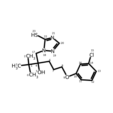 CC(C)(C)C(O)(CCCOc1cccc(Cl)c1)Cn1ncnc1S